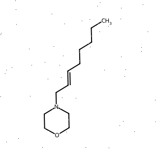 CCCCC/C=C/CN1CCOCC1